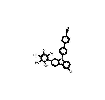 Cc1c(O)c(O)c(C2C=Cc3c(n(-c4ccc(-c5ccc(C#N)cc5)cc4)c4ccc(Cl)cc34)C2)c(O)c1O